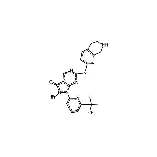 CC(C)n1c(=O)c2cnc(Nc3ccc4c(c3)CNCC4)nc2n1-c1cccc(C(C)(C)C(F)(F)F)n1